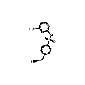 Cc1ccnc(NS(=O)(=O)c2ccc(CC#N)cc2)n1